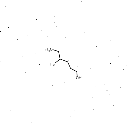 CCC(S)CCCO